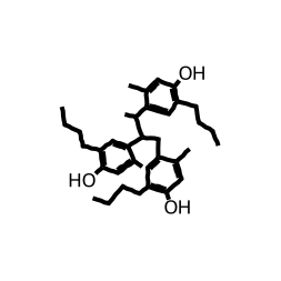 CCCCc1cc(CC(c2cc(CCCC)c(O)cc2C)C(C)c2cc(CCCC)c(O)cc2C)c(C)cc1O